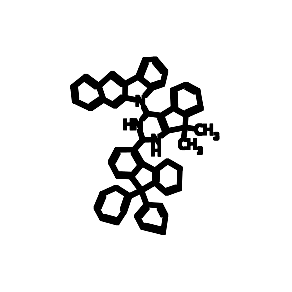 CC1(C)C2=C(c3ccccc31)C(n1c3ccccc3c3cc4ccccc4cc31)NC(c1cccc3c1C1=C(C=CCC1)C3(C1=CC=CC=CC1)c1ccccc1)N2